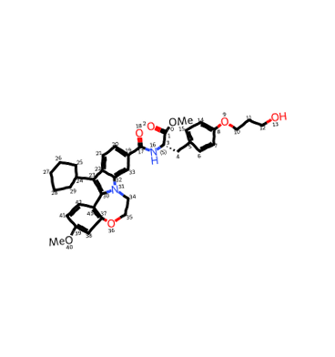 COC(=O)[C@H](Cc1ccc(OCCCO)cc1)NC(=O)c1ccc2c(C3CCCCC3)c3n(c2c1)CCOc1cc(OC)ccc1-3